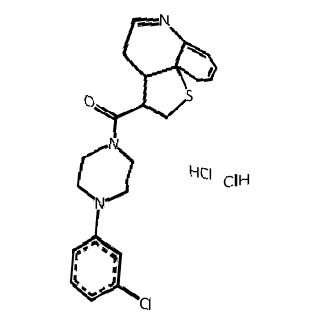 Cl.Cl.O=C(C1CSC23CC=CC=C2N=CCC13)N1CCN(c2cccc(Cl)c2)CC1